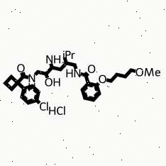 COCCCCOc1ccccc1C(=O)NCC(CC(N)C(O)CNC(=O)C1(c2ccc(Cl)cc2)CCC1)C(C)C.Cl